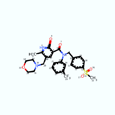 Cc1[nH]c(=O)c(C(=O)N(Cc2ccc(S(C)(=O)=O)cc2)c2cccc(C(F)(F)F)c2)cc1CN1CCOCC1